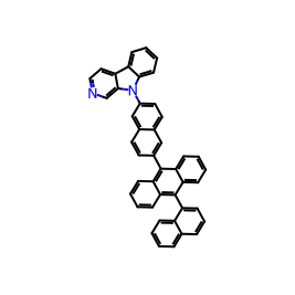 c1ccc2c(-c3c4ccccc4c(-c4ccc5cc(-n6c7ccccc7c7ccncc76)ccc5c4)c4ccccc34)cccc2c1